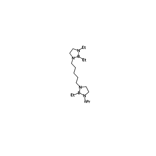 CCCN1CCN(CCCCCN2CCN(CC)B2CC)B1CC